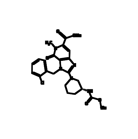 COC(=O)c1cc2nc(N3CCC[C@@H](NC(=O)OC(C)(C)C)C3)n(Cc3ccccc3Cl)c2c(=O)n1C